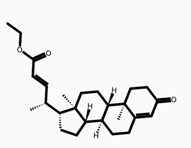 CCOC(=O)/C=C/[C@@H](C)[C@H]1CC[C@H]2[C@@H]3CCC4=CC(=O)CC[C@]4(C)[C@H]3CC[C@]12C